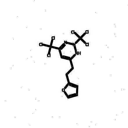 ClC(Cl)(Cl)C1=NN(C(Cl)(Cl)Cl)NC(CCc2ccco2)=C1